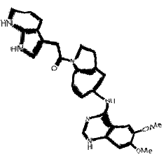 COC1=CC2=C(Nc3ccc4c(c3)CCN4C(=O)Cc3c[nH]c4c3C=CCN4)N=CNC2C=C1OC